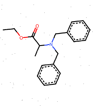 CCOC(=O)C(C)N(Cc1ccccc1)Cc1ccccc1